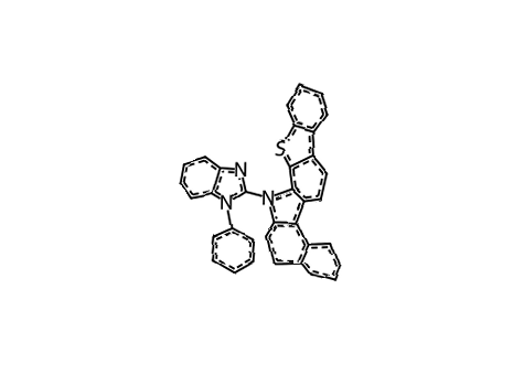 c1ccc(-n2c(-n3c4ccc5ccccc5c4c4ccc5c6ccccc6sc5c43)nc3ccccc32)cc1